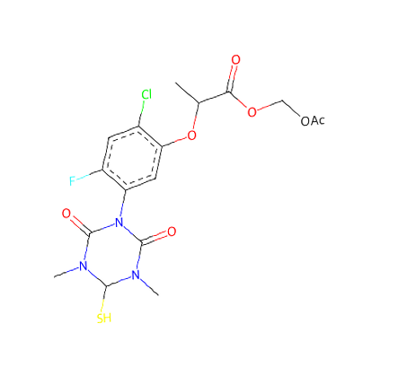 CC(=O)OCOC(=O)C(C)Oc1cc(N2C(=O)N(C)C(S)N(C)C2=O)c(F)cc1Cl